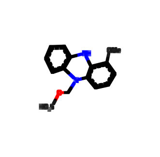 COc1cccc2c1Nc1ccccc1N2COS(=O)(=O)O